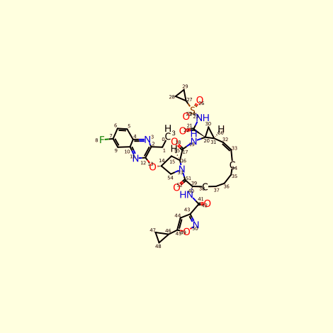 CCc1nc2ccc(F)cc2nc1O[C@@H]1C[C@H]2C(=O)N[C@]3(C(=O)NS(=O)(=O)C4CC4)C[C@H]3C=CCCCCC[C@H](NC(=O)c3cc(C4CC4)on3)C(=O)N2C1